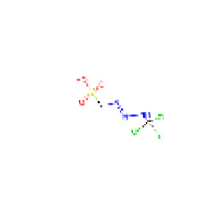 O=S(=O)(O)CN=NNC(Cl)(Cl)Cl